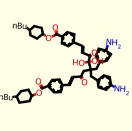 CCCCC1CCC(OC(=O)c2ccc(C=CC(=O)CC(Cc3ccc(N)cc3)(Cc3ccc(N)cc3)C(O)(O)C(=O)C=Cc3ccc(C(=O)OC4CCC(CCCC)CC4)cc3)cc2)CC1